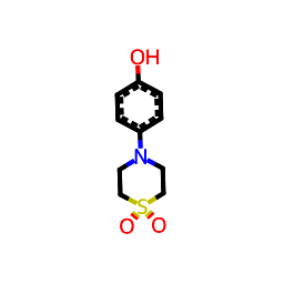 O=S1(=O)CCN(c2ccc(O)cc2)CC1